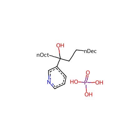 CCCCCCCCCCCCC(O)(CCCCCCCC)c1cccnc1.O=P(O)(O)O